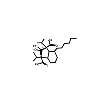 CCCCCCC1CCCC(C(C(=O)O)(C(=O)O)C(C)C)C1C(C(=O)O)(C(=O)O)C(C)C